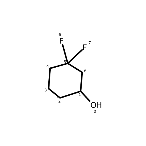 OC1[CH]CCC(F)(F)C1